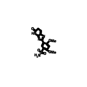 COc1cc(OC)c(S(N)(=O)=O)cc1C1=NC2=CCC(=O)NC2=N1